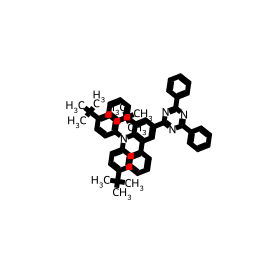 CC(C)(C)c1ccc(N(c2ccc(C(C)(C)C)cc2C(C)(C)C)c2c(-c3ccccc3)cc(-c3nc(-c4ccccc4)nc(-c4ccccc4)n3)cc2-c2ccccc2)cc1